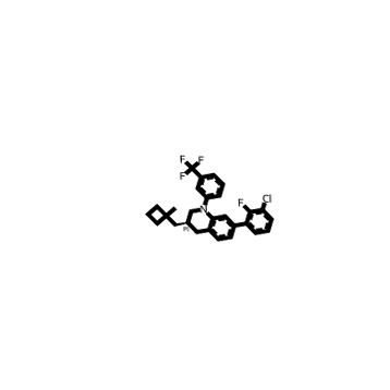 CC1(C[C@@H]2Cc3ccc(-c4cccc(Cl)c4F)cc3N(c3cccc(C(F)(F)F)c3)C2)CCC1